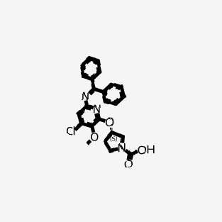 COc1c(Cl)cc(N=C(c2ccccc2)c2ccccc2)nc1O[C@H]1CCN(C(=O)O)C1